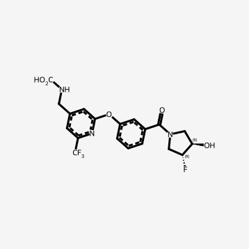 O=C(O)NCc1cc(Oc2cccc(C(=O)N3C[C@@H](O)[C@H](F)C3)c2)nc(C(F)(F)F)c1